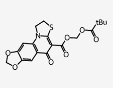 CC(C)(C)C(=O)OCOC(=O)c1c2n(c3cc4c(cc3c1=O)OCO4)CCS2